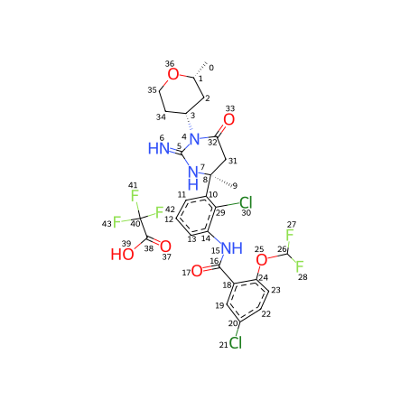 C[C@@H]1C[C@H](N2C(=N)N[C@](C)(c3cccc(NC(=O)c4cc(Cl)ccc4OC(F)F)c3Cl)CC2=O)CCO1.O=C(O)C(F)(F)F